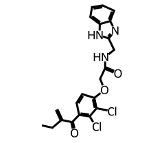 C=C(CC)C(=O)c1ccc(OCC(=O)NCc2nc3ccccc3[nH]2)c(Cl)c1Cl